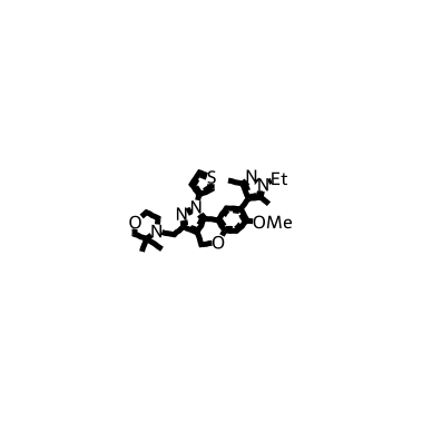 CCn1nc(C)c(-c2cc3c(cc2OC)OCc2c(CN4CCOCC4(C)C)nn(-c4ccsc4)c2-3)c1C